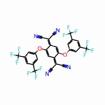 N#CC(C#N)=c1cc(Oc2cc(C(F)(F)F)cc(C(F)(F)F)c2)c(=C(C#N)C#N)cc1Oc1cc(C(F)(F)F)cc(C(F)(F)F)c1